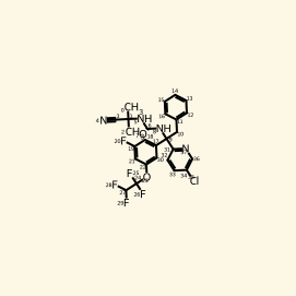 CC(C)(C#N)NC(=O)NC(Cc1ccccc1)(c1cc(F)cc(OC(F)(F)C(F)F)c1)c1ccc(Cl)cn1